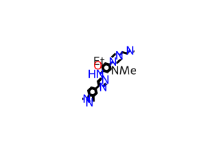 CCOc1cc(N2CCN(CCN(C)C)CC2)c(NC)cc1Nc1cc(-c2ccc3c(cnn3C)c2)ncn1